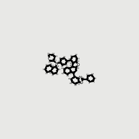 c1ccc(-c2nc3c(-c4cc5oc6cccc(-c7ccc(N(c8ccccc8)c8cccc9ccccc89)cc7)c6c5c5ccccc45)cccc3o2)cc1